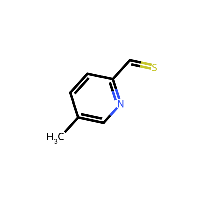 Cc1ccc(C=S)nc1